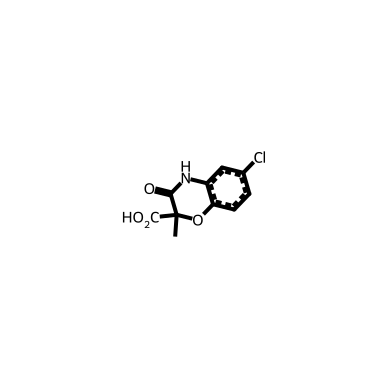 CC1(C(=O)O)Oc2ccc(Cl)cc2NC1=O